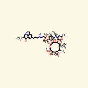 CC[C@H]1OC(=O)[C@H](C)[C@@H](O[C@H]2C[C@@](C)(OC)[C@@H](OC(=O)CCNCCCc3cc4c5c(c3)c(=O)c(C(=O)O)cn5CC4)[C@H](C)O2)[C@H](C)[C@@H](O[C@@H]2O[C@H](C)C[C@H](N(C)C)[C@H]2O)[C@](C)(OC)C[C@@H](C)C(=O)C(C)[C@H](O)[C@]1(C)O